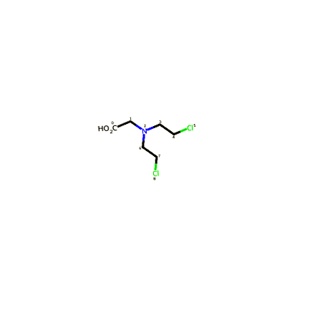 O=C(O)CN(CCCl)CCCl